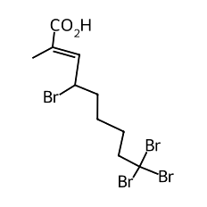 CC(=CC(Br)CCCCC(Br)(Br)Br)C(=O)O